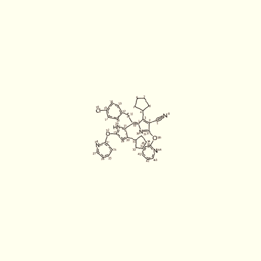 N#CC1=C(C2CCCC2)/C(=C(\Sc2ccc(Cl)cc2)c2[nH]c(Oc3ccccn3)cc2C2CCCC2)N=C1Oc1ccccn1